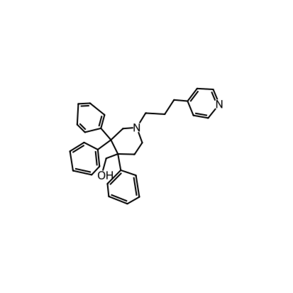 OCC1(c2ccccc2)CCN(CCCc2ccncc2)CC1(c1ccccc1)c1ccccc1